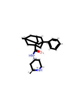 C[C@H]1C[C@H](NC(=O)C23CC4CC(C)(C2)CC(c2ccccc2)(C4)C3)CCN1